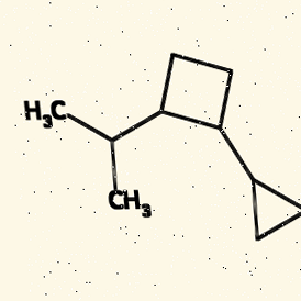 CC(C)C1CCC1C1CC1